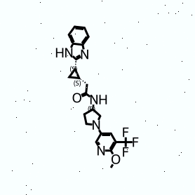 COc1ncc(N2CC[C@@H](NC(=O)C[C@@H]3C[C@@H]3c3nc4ccccc4[nH]3)C2)cc1C(F)(F)F